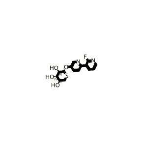 O[C@@H]1[C@@H](O)[C@H](Oc2ccc(-c3cccnc3F)nc2)SC[C@H]1O